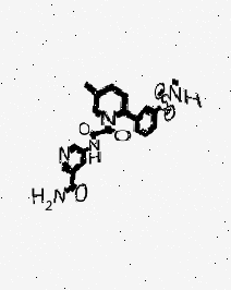 CNS(=O)(=O)c1cccc(C2CCC(C)CN2C(=O)C(=O)Nc2cncc(C(N)=O)c2)c1